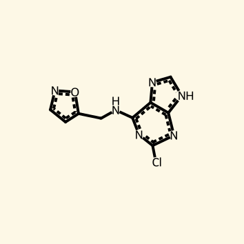 Clc1nc(NCc2ccno2)c2nc[nH]c2n1